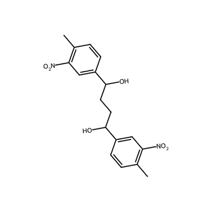 Cc1ccc(C(O)CCC(O)c2ccc(C)c([N+](=O)[O-])c2)cc1[N+](=O)[O-]